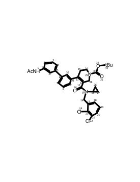 CC(=O)Nc1cccc(-c2cccc(C3=C(C(=O)N(Cc4cccc(Cl)c4Cl)C4CC4)CN(C(=O)OC(C)(C)C)CC3)c2)c1